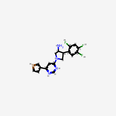 NC1CN(c2cc(-c3ccsc3)ncn2)CC1c1cc(F)c(F)cc1F